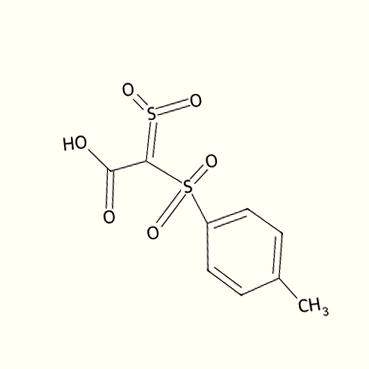 Cc1ccc(S(=O)(=O)C(C(=O)O)=S(=O)=O)cc1